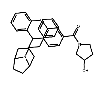 O=C(c1ccc2c(c1)Oc1ccccc1C2C1CC2CCC(C1)N2CCc1ccccc1)N1CCC(O)C1